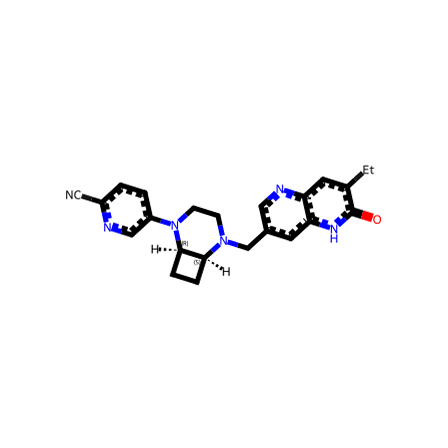 CCc1cc2ncc(CN3CCN(c4ccc(C#N)nc4)[C@@H]4CC[C@@H]43)cc2[nH]c1=O